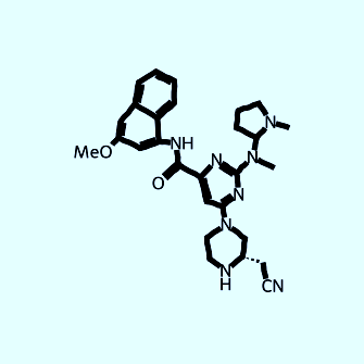 COc1cc(NC(=O)c2cc(N3CCN[C@@H](CC#N)C3)nc(N(C)C3CCCN3C)n2)c2ccccc2c1